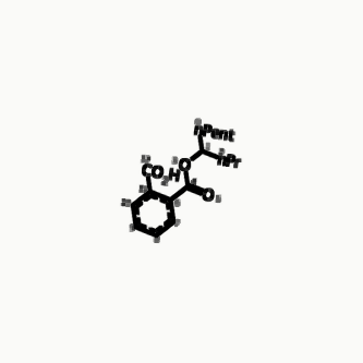 CCCCCC(CCC)OC(=O)c1ccccc1C(=O)O